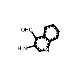 Nc1cnc2ccccc2c1C=O